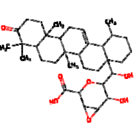 CC1CCCC2(C(O)C3OC(C(=O)O)C4OC4C3O)CCC3C(=CCC4C3(C)CCC3C(C)(C)C(=O)CCC34C)C12